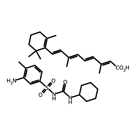 CC1=C(/C=C/C(C)=C/C=C/C(C)=C/C(=O)O)C(C)(C)CCC1.Cc1ccc(S(=O)(=O)NC(=O)NC2CCCCC2)cc1N